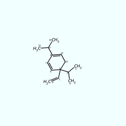 C=CC1(C(C)C)C=CC(C(C)C)=CC1